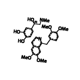 CNC[C@H](O)c1ccc(O)c(O)c1.COc1ccc(Cc2nccc3cc(OC)c(OC)cc23)cc1OC